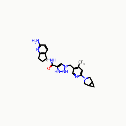 Nc1ccc2c(n1)CC[C@H]2NC(=O)C1=CN(Cc2cnc(N3CC4CC4C3)cc2C(F)(F)F)NN1